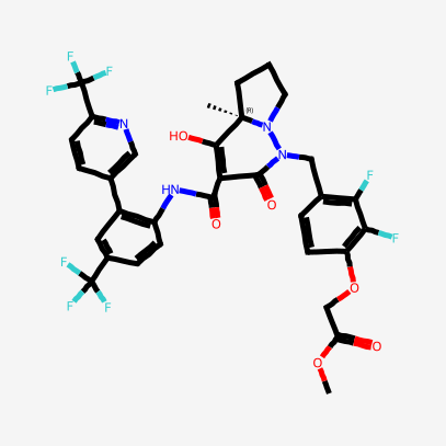 COC(=O)COc1ccc(CN2C(=O)C(C(=O)Nc3ccc(C(F)(F)F)cc3-c3ccc(C(F)(F)F)nc3)=C(O)[C@@]3(C)CCCN23)c(F)c1F